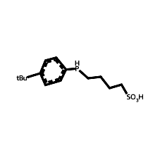 CC(C)(C)c1ccc(PCCCCS(=O)(=O)O)cc1